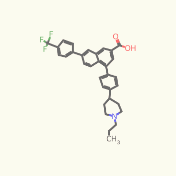 CCCN1CCC(c2ccc(-c3cc(C(=O)O)cc4cc(-c5ccc(C(F)(F)F)cc5)ccc34)cc2)CC1